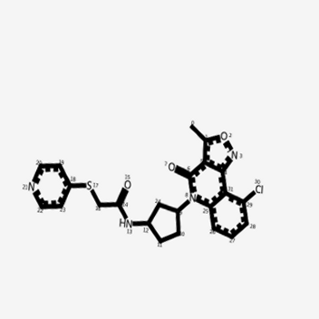 Cc1onc2c1c(=O)n(C1CCC(NC(=O)CSc3ccncc3)C1)c1cccc(Cl)c21